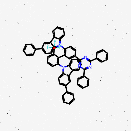 FC(F)(F)c1cccc(-n2c3ccccc3c3cc(-c4ccccc4)ccc32)c1-c1cc(-c2nc(-c3ccccc3)nc(-c3ccccc3)n2)ccc1-n1c2ccccc2c2cc(-c3ccccc3)ccc21